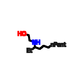 CCCCCCCCC(CC)NCCO